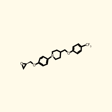 FC(F)(F)c1ccc(OCC2CCN(c3ccc(OC[C@H]4CO4)cc3)CC2)cc1